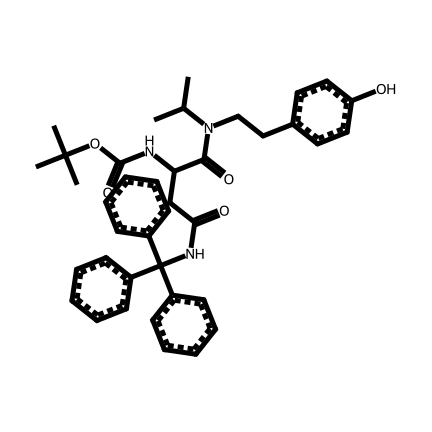 CC(C)N(CCc1ccc(O)cc1)C(=O)C(CC(=O)NC(c1ccccc1)(c1ccccc1)c1ccccc1)NC(=O)OC(C)(C)C